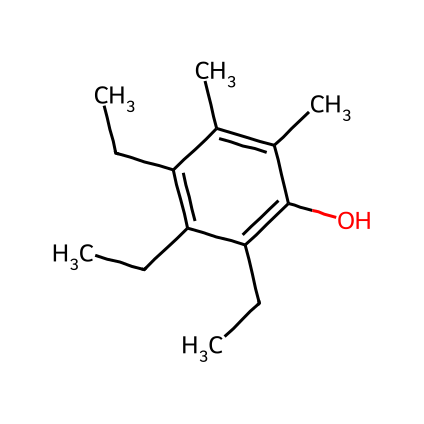 CCc1c(C)c(C)c(O)c(CC)c1CC